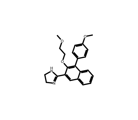 COCCOc1c(C2=NCCN2)cc2ccccc2c1-c1ccc(OC)cc1